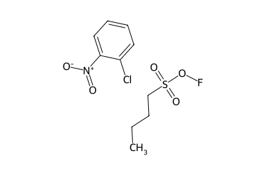 CCCCS(=O)(=O)OF.O=[N+]([O-])c1ccccc1Cl